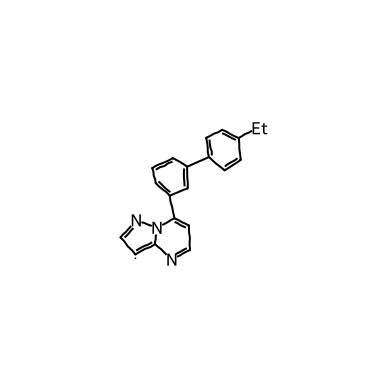 CCc1ccc(-c2cccc(-c3ccnc4[c]cnn34)c2)cc1